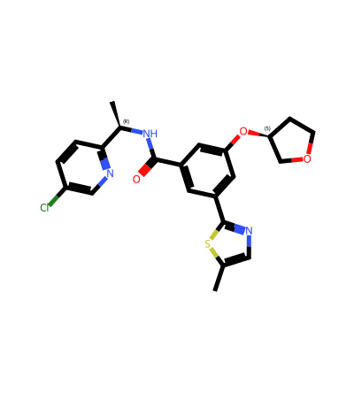 Cc1cnc(-c2cc(O[C@H]3CCOC3)cc(C(=O)N[C@H](C)c3ccc(Cl)cn3)c2)s1